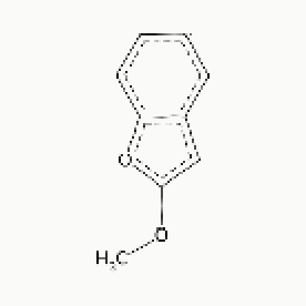 COc1cc2c[c]ccc2o1